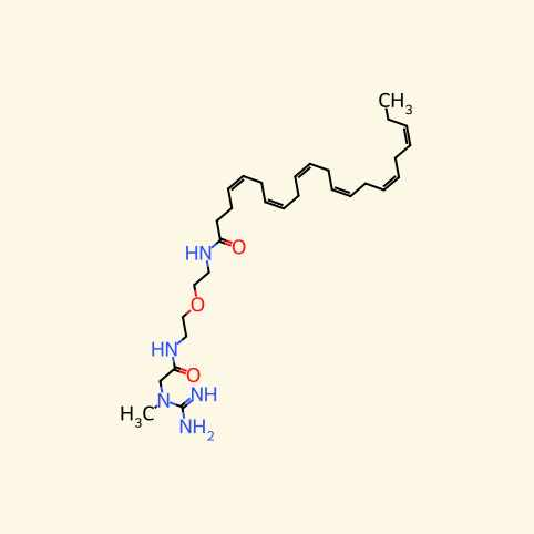 CC/C=C\C/C=C\C/C=C\C/C=C\C/C=C\C/C=C\CCC(=O)NCCOCCNC(=O)CN(C)C(=N)N